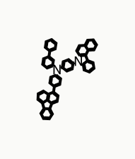 c1ccc(-c2cccc(N(c3ccc(-c4ccc5c6c(cccc46)-c4ccccc4-5)cc3)c3ccc(-n4c5ccccc5c5c6ccccc6ccc54)cc3)c2)cc1